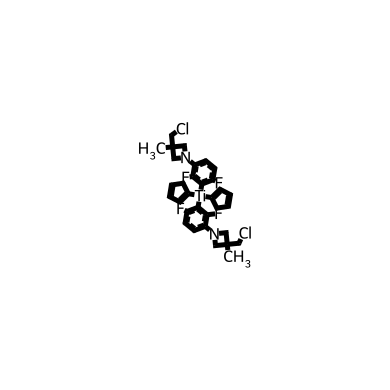 CC1(CCl)CN(c2ccc(F)[c]([Ti]([C]3=CC=CC3)([C]3=CC=CC3)[c]3c(F)ccc(N4CC(C)(CCl)C4)c3F)c2F)C1